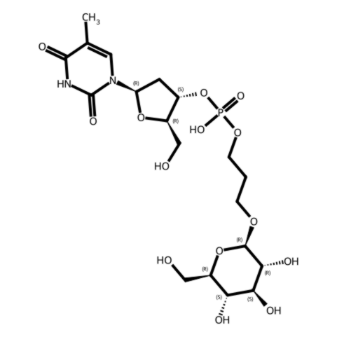 Cc1cn([C@H]2C[C@H](OP(=O)(O)OCCCO[C@@H]3O[C@H](CO)[C@@H](O)[C@H](O)[C@H]3O)[C@@H](CO)O2)c(=O)[nH]c1=O